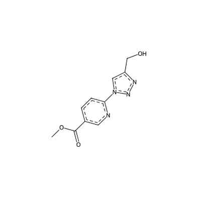 COC(=O)c1ccc(-n2cc(CO)nn2)nc1